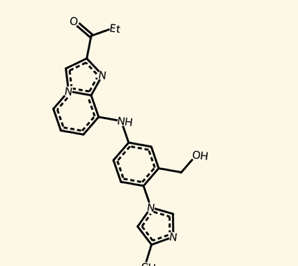 CCC(=O)c1cn2cccc(Nc3ccc(-n4cnc(C)c4)c(CO)c3)c2n1